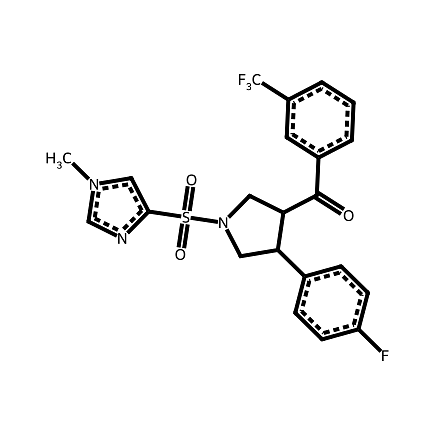 Cn1cnc(S(=O)(=O)N2CC(C(=O)c3cccc(C(F)(F)F)c3)C(c3ccc(F)cc3)C2)c1